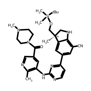 Cc1ncc(C(=O)N2CCN(C)CC2)cc1Nc1nccc(-c2cc(C#N)c3c(c2)[C@@](C)(CO[Si](C)(C)C(C)(C)C)CN3)n1